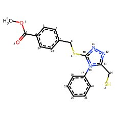 COC(=O)c1ccc(CSc2nnc(CS)n2-c2ccccc2)cc1